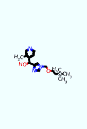 Cc1cnccc1C(O)c1cn(COCC[Si](C)(C)C)cn1